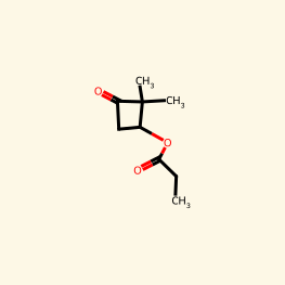 CCC(=O)OC1CC(=O)C1(C)C